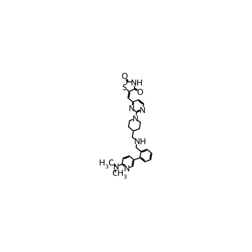 CN(C)c1ccc(-c2ccccc2CNCC2CCN(c3nccc(/C=C4/SC(=O)NC4=O)n3)CC2)cn1